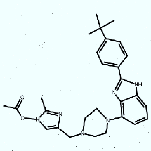 CC(=O)On1cc(CN2CCN(c3cccc4[nH]c(-c5ccc(C(C)(C)C)cc5)nc34)CC2)nc1C